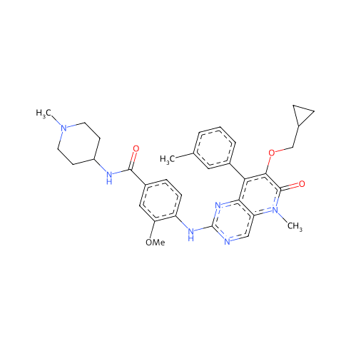 COc1cc(C(=O)NC2CCN(C)CC2)ccc1Nc1ncc2c(n1)c(-c1cccc(C)c1)c(OCC1CC1)c(=O)n2C